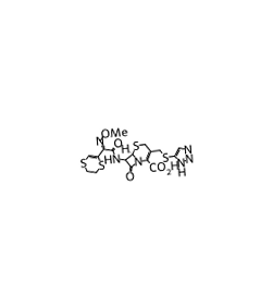 CO/N=C(\C(=O)NC1C(=O)N2C(C(=O)O)=C(CSc3cnn[nH]3)CS[C@H]12)C1=CSCCS1